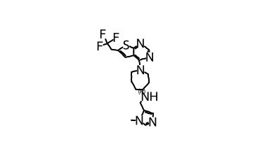 Cn1cncc1CN[C@@H]1CCCN(c2ncnc3sc(CC(F)(F)F)cc23)CC1